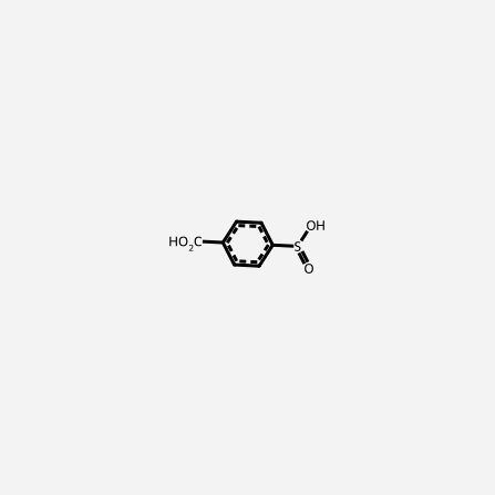 O=C(O)c1ccc(S(=O)O)cc1